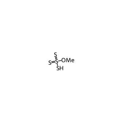 COS(=S)(=S)S